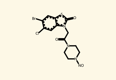 O=NN1CCN(C(=O)Cn2c(=O)sc3cc(Br)c(Cl)cc32)CC1